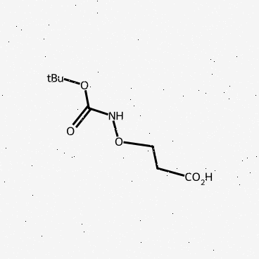 CC(C)(C)OC(=O)NOCCC(=O)O